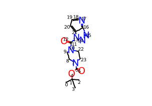 CC(C)(C)OC(=O)N1CCN(C(=O)n2nnc3ncccc32)CC1